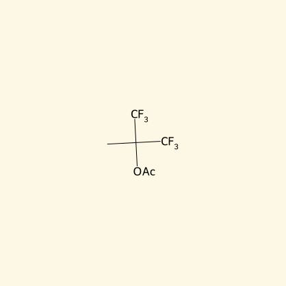 CC(=O)OC(C)(C(F)(F)F)C(F)(F)F